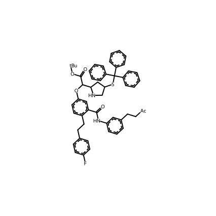 CC(=O)CCc1cccc(NC(=O)c2cc(OC(C(=O)OC(C)(C)C)C3CC(SC(c4ccccc4)(c4ccccc4)c4ccccc4)CN3)ccc2CCc2ccc(F)cc2)c1